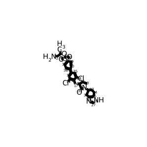 CC(CN)OS(=O)(=O)c1ccc(-c2cc(Cl)c(C[C@@H]3CCN(C4CCc5[nH]cnc5C4)C3=O)c(Cl)c2)cc1